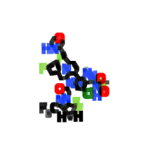 Cn1nc(NS(C)(=O)=O)c2c(Cl)ccc(-c3ccc(C#CC4COCCN4)nc3[C@H](Cc3cc(F)cc(F)c3)NC(=O)Cn3nc(C(F)(F)F)c4c3C(F)(F)[C@@H]3C[C@H]43)c21